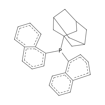 c1ccc2c(P(c3cccc4ccccc34)C34CC5CC(CC(C5)C3)C4)cccc2c1